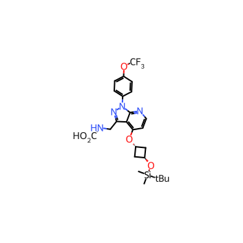 CC(C)(C)[Si](C)(C)O[C@H]1C[C@H](Oc2ccnc3c2c(CNC(=O)O)nn3-c2ccc(OC(F)(F)F)cc2)C1